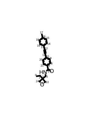 CCC1(CNC(=O)c2ccc(C#Cc3ccc(C)cc3)cc2)COC1